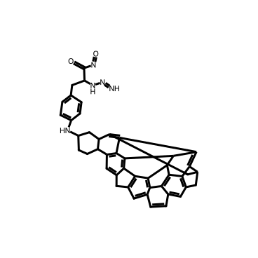 N=NNC(Cc1ccc(NC2CCC3c4cc5c6c7c4C4=C(CC8Cc9cc%10ccc%11cc(c-6c6c%11c%10c%10c9C8=C4C7C%106)C5)C3C2)cc1)C(=O)N=O